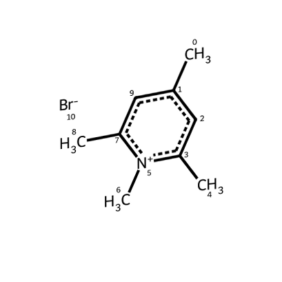 Cc1cc(C)[n+](C)c(C)c1.[Br-]